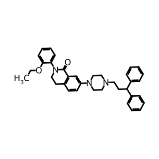 CCOc1ccccc1N1CCc2ccc(N3CCN(CCC(c4ccccc4)c4ccccc4)CC3)cc2C1=O